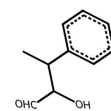 CC(c1ccccc1)C(O)C=O